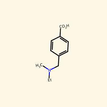 CCN(C)Cc1ccc(C(=O)O)cc1